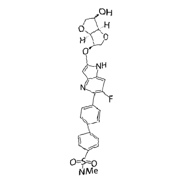 CNS(=O)(=O)c1ccc(-c2ccc(-c3nc4cc(O[C@@H]5CO[C@H]6[C@@H]5OC[C@H]6O)[nH]c4cc3F)cc2)cc1